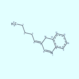 CCCCC=C1C=Nc2ccccc2C1